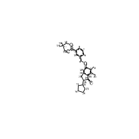 Cc1c(OCc2cccc(B3OCC(C)(C)CO3)c2)cc2c(c1C)C(=O)C(C1CCCC1)C2